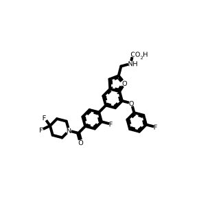 O=C(O)NCc1cc2cc(-c3ccc(C(=O)N4CCC(F)(F)CC4)cc3F)cc(Oc3cccc(F)c3)c2o1